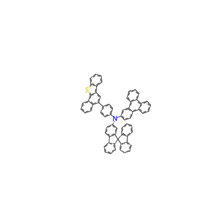 c1ccc2c(c1)-c1ccccc1C21c2ccccc2-c2ccc(N(c3ccc(-c4cc5c6ccccc6sc5c5ccccc45)cc3)c3ccc4c5ccccc5c5ccccc5c4c3)cc21